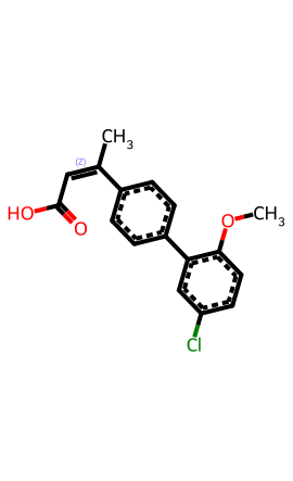 COc1ccc(Cl)cc1-c1ccc(/C(C)=C\C(=O)O)cc1